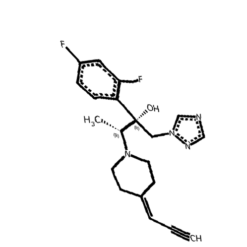 C#CC=C1CCN([C@H](C)[C@](O)(Cn2cncn2)c2ccc(F)cc2F)CC1